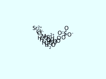 O.O.O.O.O.O.O.O=S(=O)([O-])[O-].[Cl-].[Cl-].[Mg+2].[Sr+2]